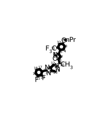 CCCOc1ccc(-c2cc([C@H](C)n3cc4nc(-c5cccc(F)c5F)nc-4cn3)on2)c(C(F)(F)F)c1